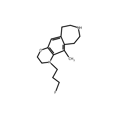 Cc1c2c(cc3c1N(CCCF)CCO3)CCNCC2